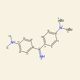 CCCCN(CCCC)c1ccc(C(=N)c2ccc(N(C)C)cc2)cc1